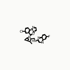 CC1C2CC(C2)N(C(=O)c2cc(Cl)ccc2-n2nccn2)C1CNc1cnc2cc(F)ccc2n1